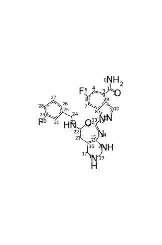 NC(=O)c1cc(F)cc2c1cnn2C1=NC2=C(CNCN2)CC(NCc2cccc(F)c2)O1